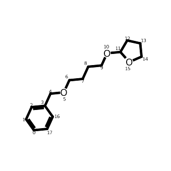 c1ccc(COCCCCOC2CCCO2)cc1